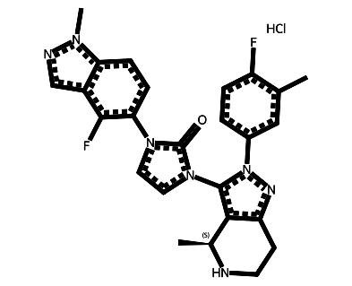 Cc1cc(-n2nc3c(c2-n2ccn(-c4ccc5c(cnn5C)c4F)c2=O)[C@H](C)NCC3)ccc1F.Cl